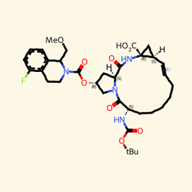 COCC1c2cccc(F)c2CCN1C(=O)O[C@@H]1C[C@H]2C(=O)N[C@]3(C(=O)O)C[C@H]3/C=C/CCCCC[C@H](NC(=O)OC(C)(C)C)C(=O)N2C1